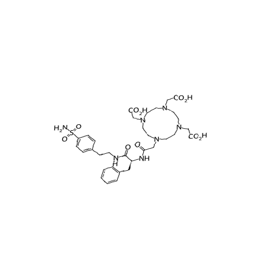 NS(=O)(=O)c1ccc(CCNC(=O)[C@H](Cc2ccccc2)NC(=O)CN2CCN(CC(=O)O)CCN(CC(=O)O)CCN(CC(=O)O)CC2)cc1